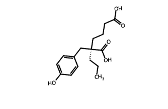 CCC[C@@](CCCC(=O)O)(Cc1ccc(O)cc1)C(=O)O